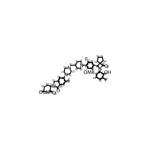 COc1cc(N2CCC(CN3CCN(c4cc5c(cc4F)C(=O)N([C@H]4CCC(=O)NC4=O)C5)CC3)CC2)c(F)cc1[C@@H]1N(c2cccc(F)c2O)C(=O)C12CCCC2